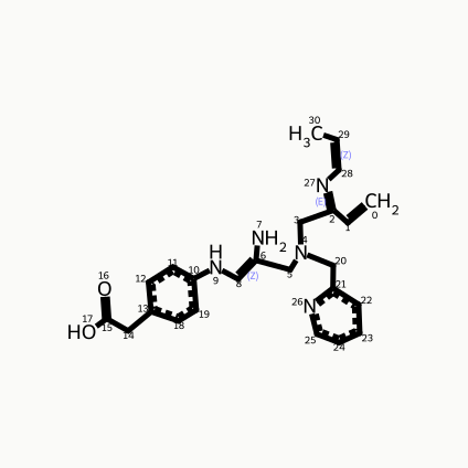 C=C/C(CN(C/C(N)=C/Nc1ccc(CC(=O)O)cc1)Cc1ccccn1)=N\C=C/C